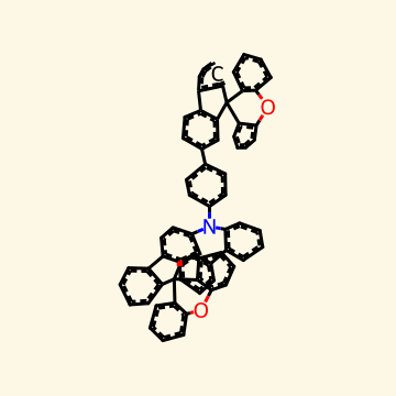 c1ccc(-c2ccccc2N(c2ccc(-c3ccc4c(c3)C3(c5ccccc5Oc5ccccc53)c3ccccc3-4)cc2)c2ccc3c(c2)C2(c4ccccc4Oc4ccccc42)c2ccccc2-3)cc1